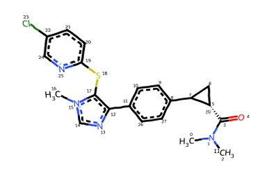 CN([11CH3])C(=O)[C@H]1CC1c1ccc(-c2ncn(C)c2Sc2ccc(Cl)cn2)cc1